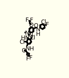 Cn1c(Nc2c(Cl)ccc(CNC(=O)C3CC(F)(F)C3)c2Cl)nc2cc(C(=O)Nc3ccc(F)c(Cl)c3)c(OCC(F)F)cc21